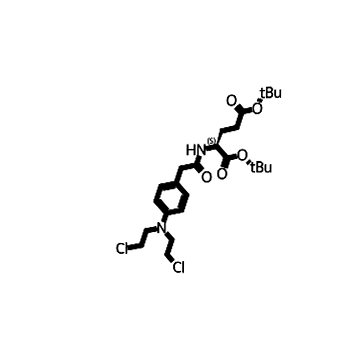 CC(C)(C)OC(=O)CC[C@H](NC(=O)Cc1ccc(N(CCCl)CCCl)cc1)C(=O)OC(C)(C)C